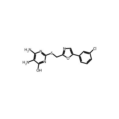 Nc1nc(SCc2ncc(-c3cccc(Cl)c3)o2)nc(O)c1N